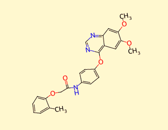 COc1cc2ncnc(Oc3ccc(NC(=O)COc4ccccc4C)cc3)c2cc1OC